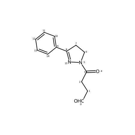 O=CCCC(=O)N1CCC(c2ccccc2)=N1